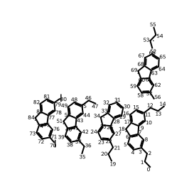 CCCc1ccc2c(c1)-c1cc(CCC)ccc1[CH]2.CCCc1ccc2c(c1)-c1ccccc1[CH]2.CCc1ccc2c(c1)-c1cc(CC)ccc1[CH]2.C[CH]CC.Cc1ccc2c(c1)-c1ccccc1[CH]2.Ic1ccc2c(c1)-c1cc(I)ccc1[CH]2